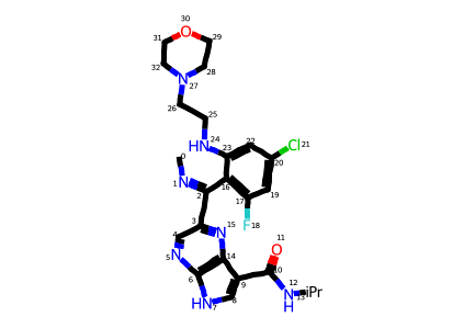 C/N=C(/c1cnc2[nH]cc(C(=O)NC(C)C)c2n1)c1c(F)cc(Cl)cc1NCCN1CCOCC1